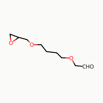 O=CCOCCCCOCC1CO1